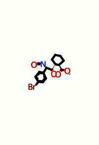 COC(=O)[C@@H]1CCCC[C@H]1C(=O)C(N=C=O)c1ccc(Br)cc1